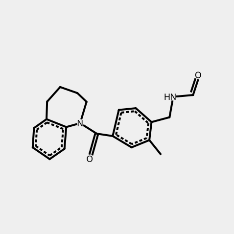 Cc1cc(C(=O)N2CCCCc3ccccc32)ccc1CNC=O